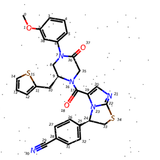 COc1cccc(N2C[C@H](Cc3cccs3)N(C(=O)c3cnc4n3[C@H](c3ccc(C#N)cc3)CS4)CC2=O)c1